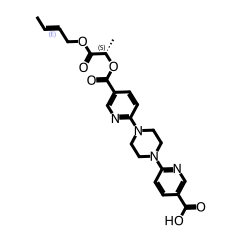 C/C=C/COC(=O)[C@H](C)OC(=O)c1ccc(N2CCN(c3ccc(C(=O)O)cn3)CC2)nc1